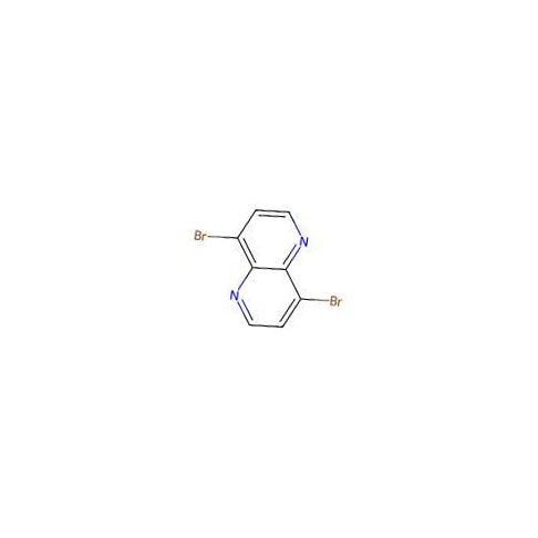 Brc1ccnc2c(Br)ccnc12